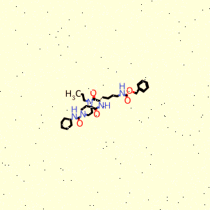 CCCN1C(=O)[C@H](CCCCNC(=O)OCc2ccccc2)NC(=O)C12CCN(C(=O)NC1CCCCC1)CC2